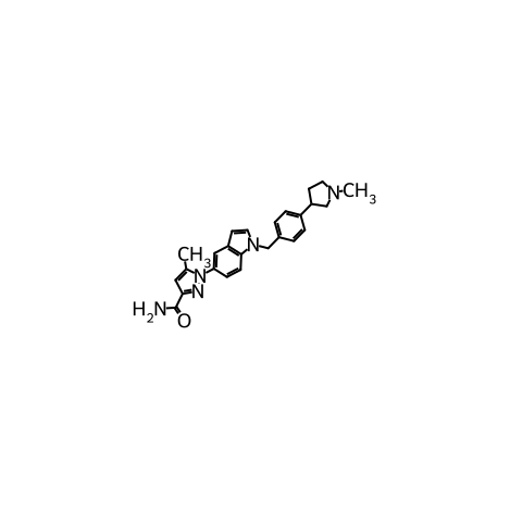 Cc1cc(C(N)=O)nn1-c1ccc2c(ccn2Cc2ccc(C3CCN(C)C3)cc2)c1